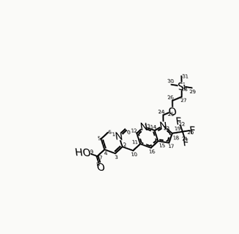 C=N/C(=C\C(=C/C)C(=O)O)Cc1cnc2c(c1)cc(C(F)(F)F)n2COCC[Si](C)(C)C